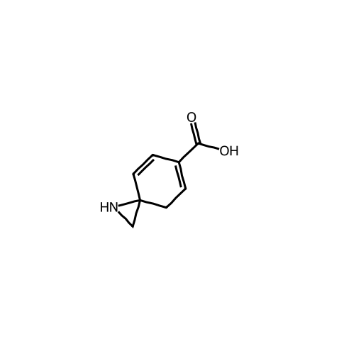 O=C(O)C1=CCC2(C=C1)CN2